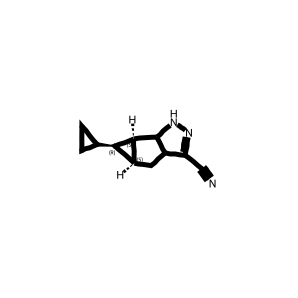 N#CC1=NNC2C1C[C@H]1[C@@H](C3CC3)[C@@H]21